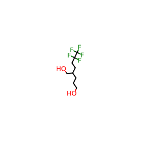 OCCCC(CO)CCC(F)(F)C(F)(F)F